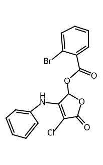 O=C1OC(OC(=O)c2ccccc2Br)C(Nc2ccccc2)=C1Cl